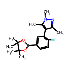 Cc1nn(C)c(C)c1-c1cc(B2OC(C)(C)C(C)(C)O2)ccc1F